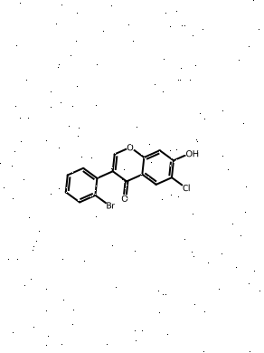 O=c1c(-c2ccccc2Br)coc2cc(O)c(Cl)cc12